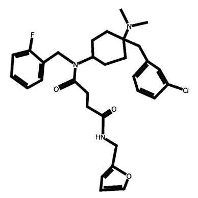 CN(C)C1(Cc2cccc(Cl)c2)CCC(N(Cc2ccccc2F)C(=O)CCC(=O)NCc2ccco2)CC1